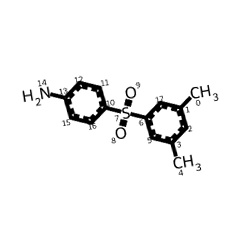 Cc1cc(C)cc(S(=O)(=O)c2ccc(N)cc2)c1